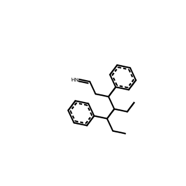 CCC(c1ccccc1)C(CC)C(CC=N)c1ccccc1